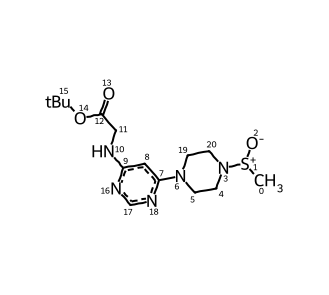 C[S+]([O-])N1CCN(c2cc(NCC(=O)OC(C)(C)C)ncn2)CC1